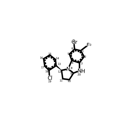 Fc1cc2c(cc1Br)N1C(CC[C@H]1c1ccccc1Cl)N2